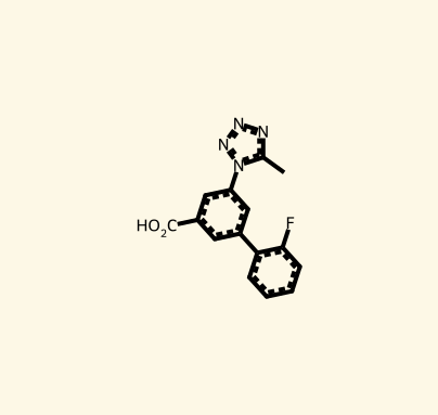 Cc1nnnn1-c1cc(C(=O)O)cc(-c2ccccc2F)c1